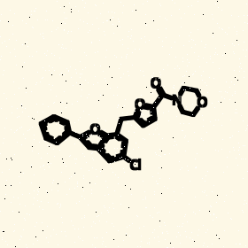 O=C(c1ccc(Cc2cc(Cl)cc3cc(-c4ccccc4)oc23)o1)N1CCOCC1